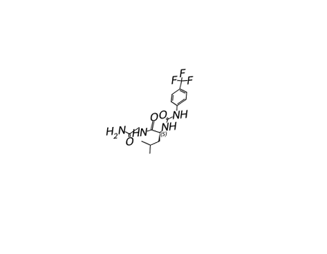 CC(C)C[C@H](NC(=O)Nc1ccc(C(F)(F)F)cc1)C(=O)NCC(N)=O